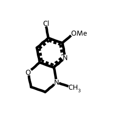 COc1nc2c(cc1Cl)OCCN2C